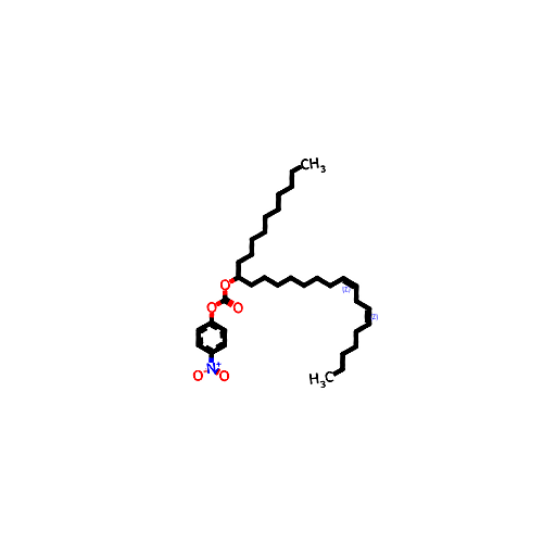 CCCCC/C=C\C/C=C\CCCCCCCC(CCCCCCCCCC)OC(=O)Oc1ccc([N+](=O)[O-])cc1